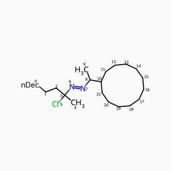 CCCCCCCCCCCCC(C)(Cl)N=NC(C)C1CCCCCCCCCCC1